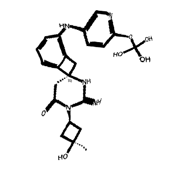 C[C@]1(O)C[C@@H](N2C(=N)N[C@]3(CC2=O)Cc2c(Nc4ccc(OC(O)(O)O)nc4)cccc23)C1